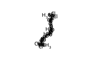 CN1Cc2c(Cl)cc(Cl)cc2C(c2ccc3c(c2)C(=O)N(CCOCCOCCNC(=O)N2CCN(C(=O)NCCOCCOCCN4Cc5ccc(C6CN(C)Cc7c(Cl)cc(Cl)cc76)cc5C4=O)CC2)C3)C1